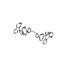 OC1(c2ccc(OCCCCOc3ccc(C4(O)c5ccccc5-c5ccccc54)cc3)cc2)c2ccccc2-c2ccccc21